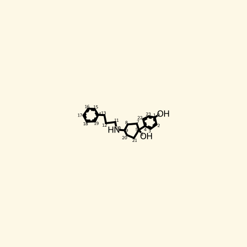 Oc1ccc(C2(O)CCC(NCCCc3ccccc3)CC2)cc1